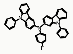 Fc1ccc(N(c2ccc3c(c2)c2ccccc2n3-c2ccccc2)c2ccc3c4ccccc4n(-c4ccccc4)c3c2)cc1